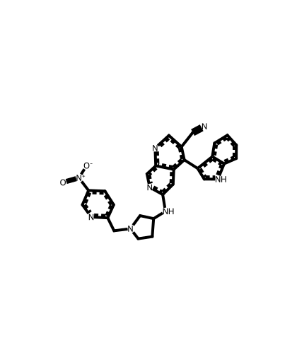 N#Cc1cnc2cnc(NC3CCN(Cc4ccc([N+](=O)[O-])cn4)C3)cc2c1-c1c[nH]c2ccccc12